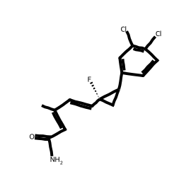 CC(C=C[C@]1(F)CC1c1ccc(Cl)c(Cl)c1)=CC(N)=O